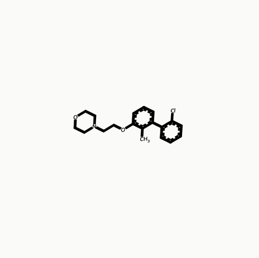 Cc1c(OCCN2CCOCC2)cccc1-c1ccccc1Cl